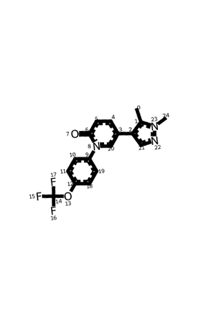 Cc1c(-c2ccc(=O)n(-c3ccc(OC(F)(F)F)cc3)c2)cnn1C